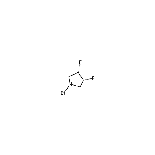 CCN1C[C@@H](F)[C@@H](F)C1